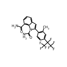 Cc1cc(C(F)(C(F)(F)F)C(F)(F)F)ccc1-c1cc2cccc(C(N)=O)c2n1C(N)=O